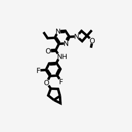 CCc1ncc(N2CC(C)(OC)C2)nc1C(=O)Nc1cc(F)c(OC2CC3CC3C2)c(F)c1